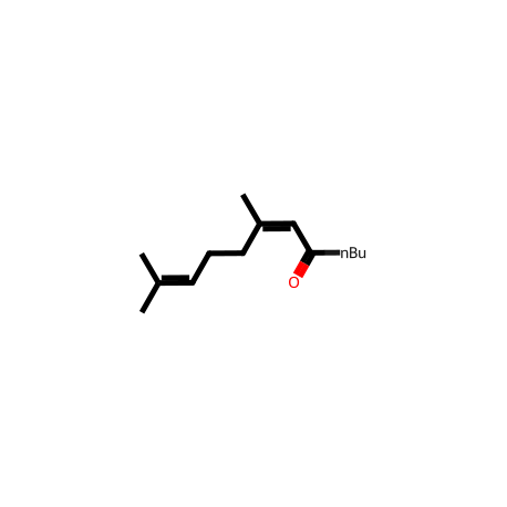 CCCCC(=O)C=C(C)CCC=C(C)C